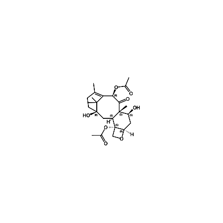 CC(=O)O[C@H]1C(=O)[C@@]2(C)[C@H](C[C@]3(O)CCC(C)=C1C3(C)C)[C@]1(OC(C)=O)CO[C@@H]1C[C@@H]2O